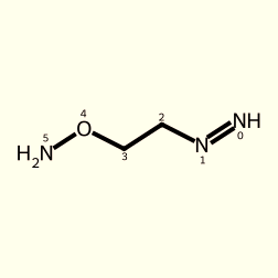 N=NCCON